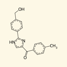 Cc1ccc(C(=O)c2c[nH]c(-c3ccc(CO)cc3)n2)cc1